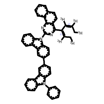 [2H]C/C([2H])=C([2H])\C(=C(\[2H])C[2H])c1nc(-n2c3ccccc3c3cc(-c4ccc5c(c4)c4ccccc4n5-c4ccccc4)ccc32)nc2c1ccc1ccccc12